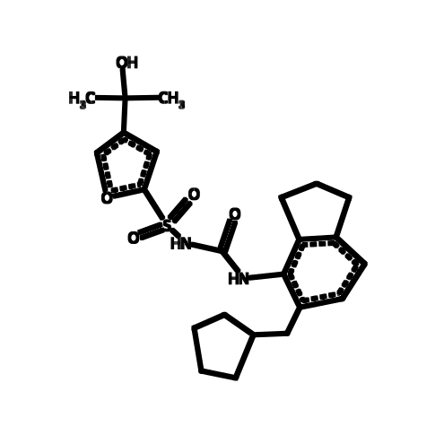 CC(C)(O)c1coc(S(=O)(=O)NC(=O)Nc2c(CC3CCCC3)ccc3c2CCC3)c1